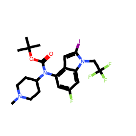 CN1CCC(N(C(=O)OC(C)(C)C)c2cc(F)cc3c2cc(I)n3CC(F)(F)F)CC1